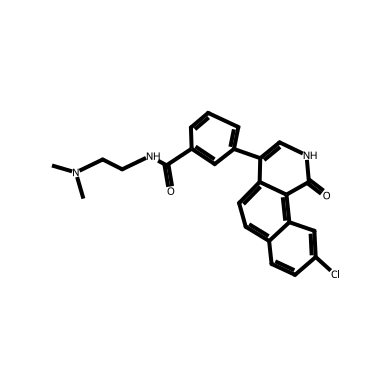 CN(C)CCNC(=O)c1cccc(-c2c[nH]c(=O)c3c2ccc2ccc(Cl)cc23)c1